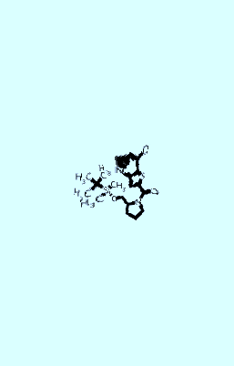 CC(C)(C)[Si](C)(C)OCC1CCCN1C(=O)c1cc2nccc(Cl)c2s1